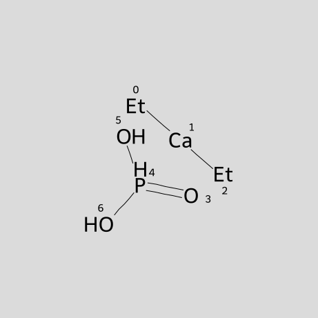 C[CH2][Ca][CH2]C.O=[PH](O)O